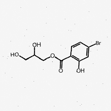 O=C(OCC(O)CO)c1ccc(Br)cc1O